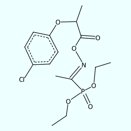 CCOP(=O)(OCC)C(C)=NOC(=O)C(C)Oc1ccc(Cl)cc1